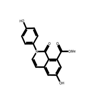 COC(=O)c1cc(O)cc2ccn(-c3ccc(O)cc3)c(=O)c12